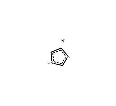 [N].c1c[nH]cn1